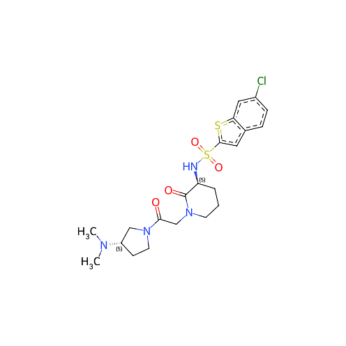 CN(C)[C@H]1CCN(C(=O)CN2CCC[C@H](NS(=O)(=O)c3cc4ccc(Cl)cc4s3)C2=O)C1